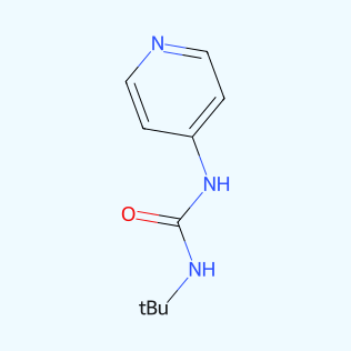 CC(C)(C)NC(=O)Nc1ccncc1